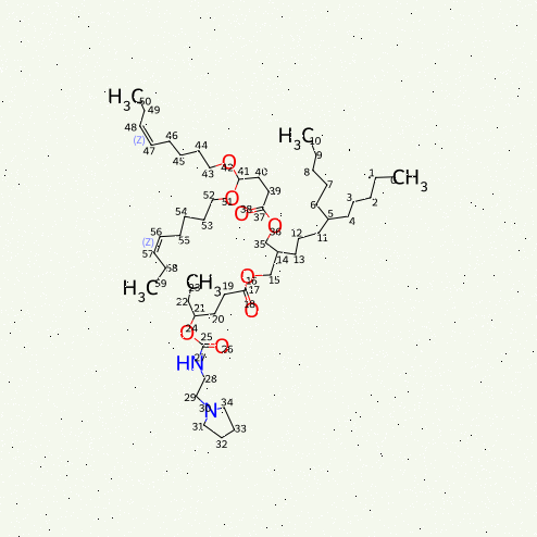 C[CH]CCCC(CCCCC)CCCC(COC(=O)CCC(CC)OC(=O)NCCN1CCCC1)COC(=O)CCC(OCCCC/C=C\CC)OCCCC/C=C\CC